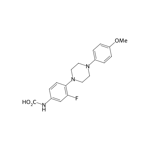 COc1ccc(N2CCN(c3ccc(NC(=O)O)cc3F)CC2)cc1